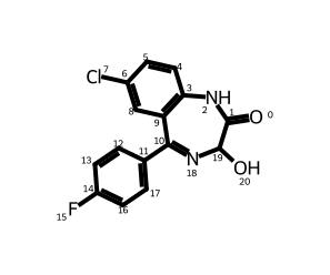 O=C1Nc2ccc(Cl)cc2C(c2ccc(F)cc2)=NC1O